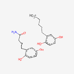 NC(=O)CCCc1cc(O)ccc1O.O=C(O)CCCCc1cc(O)ccc1O